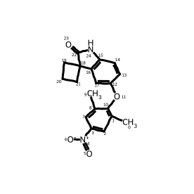 Cc1cc([N+](=O)[O-])cc(C)c1Oc1ccc2c(c1)C1(CCC1)C(=O)N2